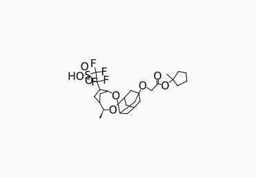 C[C@@H]1OC2(OC3CC1CC3C(F)(F)C(F)(F)S(=O)(=O)O)C1CC3CC2CC(OCC(=O)OC2(C)CCCC2)(C3)C1